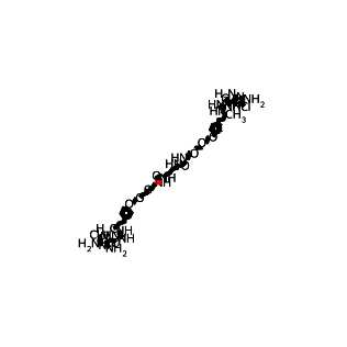 CC(CCc1ccc(OCCOCCOCCNC(=O)NCCCCNC(=O)NCCOCCOCCOc2ccc(CCC(C)NC(=N)NC(=O)c3nc(Cl)c(N)nc3N)cc2)cc1)NC(=N)NC(=O)c1nc(Cl)c(N)nc1N